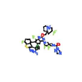 N#Cc1c(N)sc2c(F)ccc(-c3c(Cl)cc4c(N5CC(F)(F)C6(CN(C(=O)n7cncn7)C6)C5)nc(OC[C@@]56CCCN5C[C@H](F)C6)nc4c3F)c12